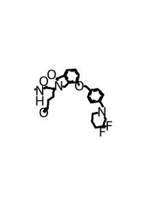 CNC(=O)C(CCC=O)N1Cc2c(OCc3ccc(CN4CCCC(F)(F)C4)cc3)cccc2C1=O